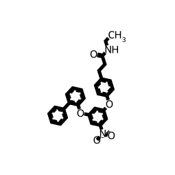 CCNC(=O)CCc1ccc(Oc2cc(Oc3ccccc3-c3ccccc3)cc([N+](=O)[O-])c2)cc1